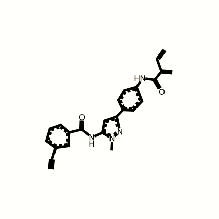 C#Cc1cccc(C(=O)Nc2cc(-c3ccc(NC(=O)C(=C)C=C)cc3)nn2C)c1